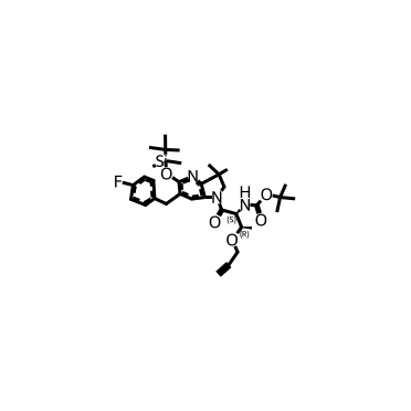 C#CCO[C@H](C)[C@H](NC(=O)OC(C)(C)C)C(=O)N1CC(C)(C)c2nc(O[Si](C)(C)C(C)(C)C)c(Cc3ccc(F)cc3)cc21